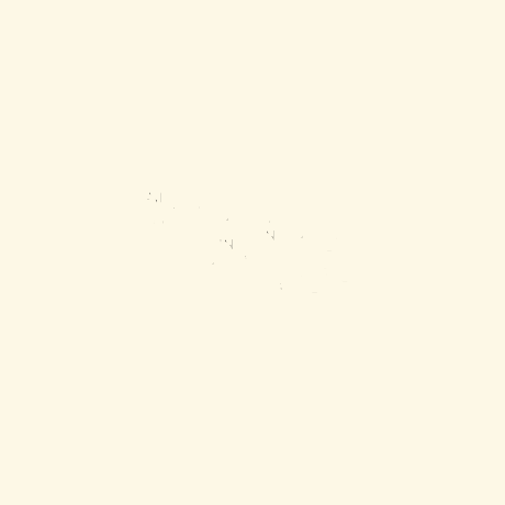 NOC1CCN(c2ccc(C(F)(F)F)cn2)CC1